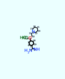 Cl.Cl.N=C(N)c1ccc(OCCN2CCCCC2)cc1